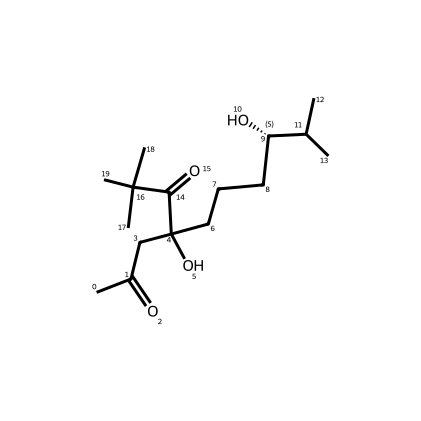 CC(=O)CC(O)(CCC[C@H](O)C(C)C)C(=O)C(C)(C)C